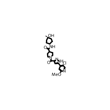 COc1cc(-c2cc(C(=O)N3CCC(C(=O)N[C@H]4CC[C@@](C)(O)CC4)CC3)n[nH]2)c(Cl)cn1